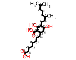 CC(C)=CCCC(C)=CCc1c(O)cc(CCCCCCCC(=O)O)c(C(=O)O)c1O